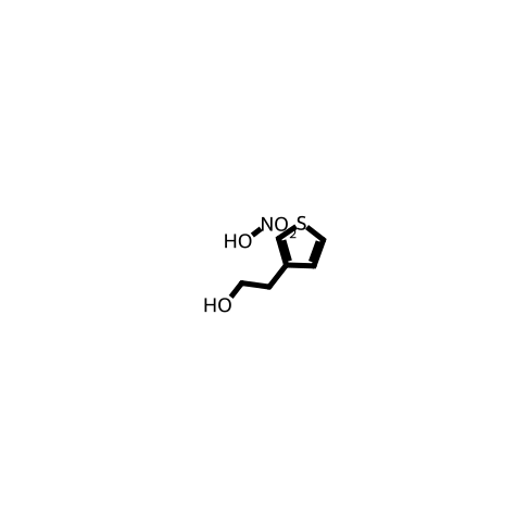 O=[N+]([O-])O.OCCc1ccsc1